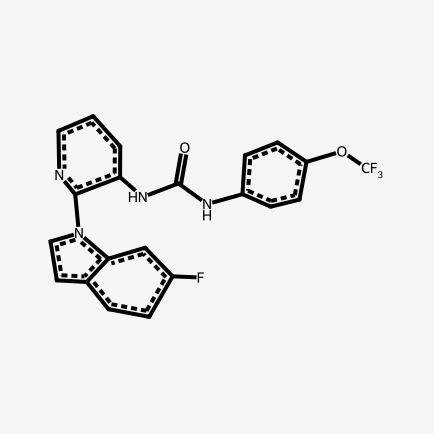 O=C(Nc1ccc(OC(F)(F)F)cc1)Nc1cccnc1-n1ccc2ccc(F)cc21